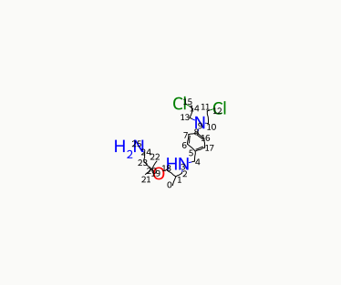 CC(CNCc1ccc(N(CCCl)CCCl)cc1)COC(C)(C)CCN